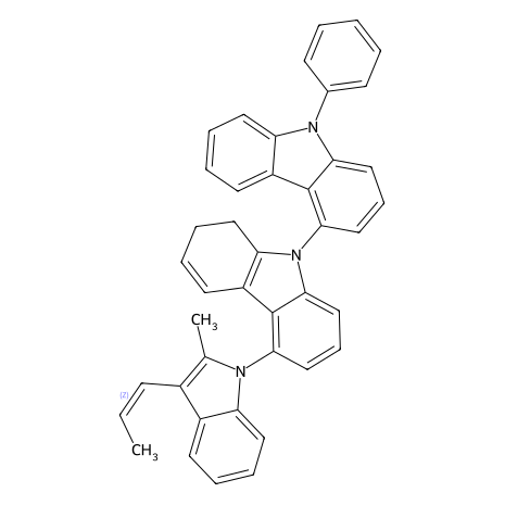 C/C=C\c1c(C)n(-c2cccc3c2c2c(n3-c3cccc4c3c3ccccc3n4-c3ccccc3)CCC=C2)c2ccccc12